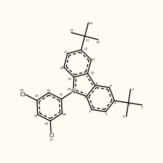 CC(C)(C)c1ccc2c(c1)c1cc(C(C)(C)C)ccc1n2-c1cc(Cl)cc(Cl)c1